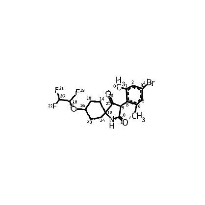 Cc1cc(Br)cc(C)c1C1C(=O)NC2(CCC(OC(F)C(F)F)CC2)C1=O